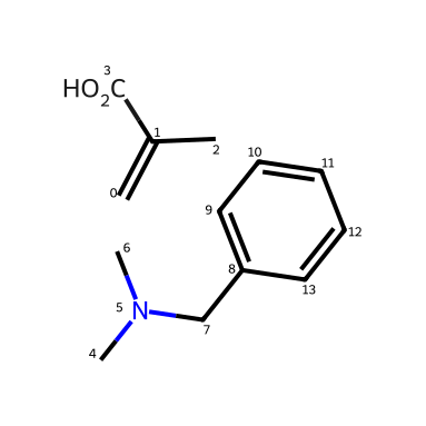 C=C(C)C(=O)O.CN(C)Cc1ccccc1